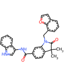 CC1(C)C(=O)N(Cc2cccc3ccoc23)c2cc(C(=O)Nc3c[nH]c4ccccc34)ccc21